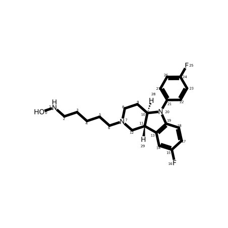 ONCCCCCN1CC[C@@H]2[C@@H](C1)c1cc(F)ccc1N2c1ccc(F)cc1